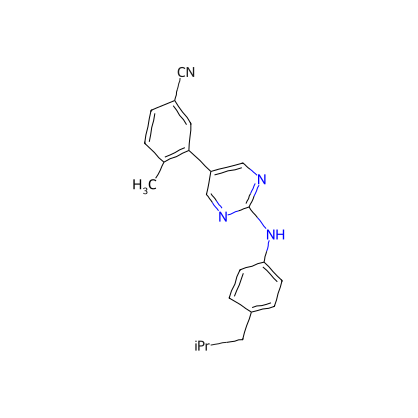 Cc1ccc(C#N)cc1-c1cnc(Nc2ccc(CC(C)C)cc2)nc1